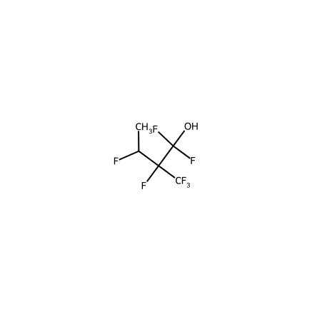 CC(F)C(F)(C(O)(F)F)C(F)(F)F